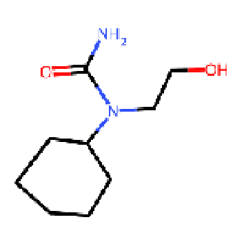 NC(=O)N(CCO)C1CCCCC1